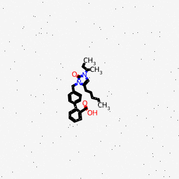 CCCCCc1cn(C(C)CC)c(=O)n1Cc1ccc(-c2ccccc2C(=O)O)cc1